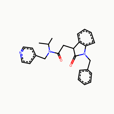 CC(C)N(Cc1ccncc1)C(=O)CC1C(=O)N(Cc2ccccc2)c2ccccc21